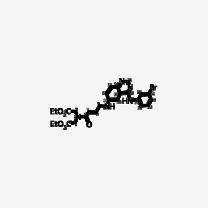 CCOC(=O)CN(CC(=O)OCC)C(=O)C=CCNc1ccc2ncnc(Nc3cccc(Br)c3)c2c1